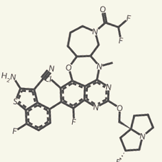 CN1c2nc(OC[C@@]34CCCN3C[C@H](F)C4)nc3c(F)c(-c4ccc(F)c5sc(N)c(C#N)c45)c(Cl)c(c23)OC2CCCN(C(=O)C(F)F)CC21